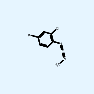 CN=C=Nc1ccc(Br)cc1Cl